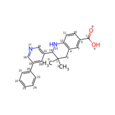 CC1(C)Cc2cc(C(=O)O)ccc2NC1c1cncc(-c2ccccc2)c1